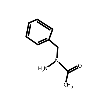 CC(=O)N(N)Cc1ccccc1